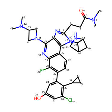 CN(C)C(=O)CCc1nc2c(N3CC(N(C)C)C3)nc3c(F)c(-c4cc(O)cc(Cl)c4C4CC4)ccc3c2n1C1C2CNC1C2